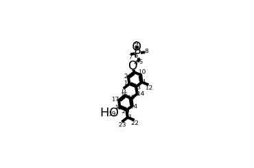 Cc1cc(OCP(C)(C)=O)cc(C)c1Cc1ccc(O)c(C(C)C)c1